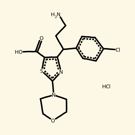 Cl.NCCC(c1ccc(Cl)cc1)c1nc(N2CCOCC2)sc1C(=O)O